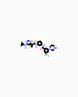 CN1CCCN(c2cc(C(=O)Nc3ccc(F)c(NC(=O)c4csc5c4NCN=C5NC4CC4)c3)cc(C(F)(F)F)c2)CC1